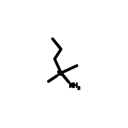 CCC[Si](C)(C)N